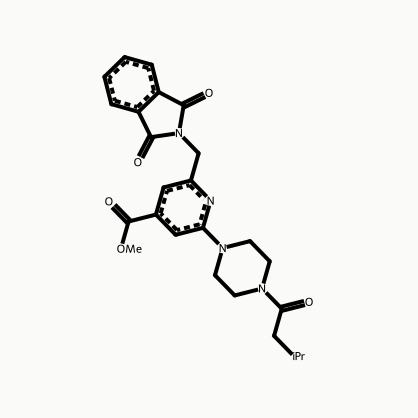 COC(=O)c1cc(CN2C(=O)c3ccccc3C2=O)nc(N2CCN(C(=O)CC(C)C)CC2)c1